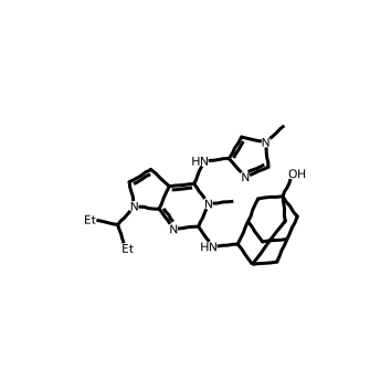 CCC(CC)n1ccc2c1=NC(NC1C3CC4CC1CC(O)(C4)C3)N(C)C=2Nc1cn(C)cn1